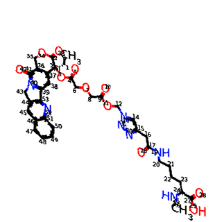 CC[C@@]1(OC(=O)COCC(=O)OCn2cc(CC(=O)NCCCC[C@H](NC)C(=O)O)nn2)C(=O)OCc2c1cc1n(c2=O)Cc2cc3ccccc3nc2-1